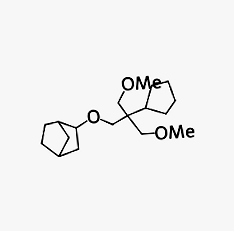 COCC(COC)(COC1CC2CCC1C2)C1CCCC1